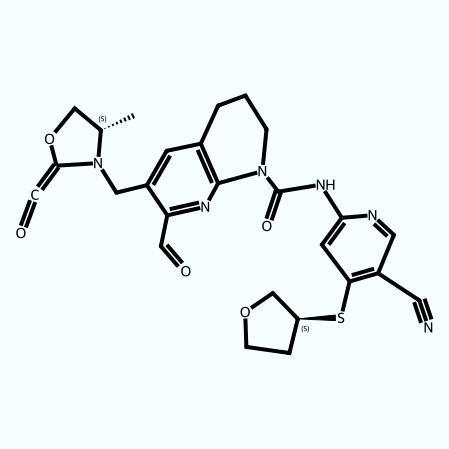 C[C@H]1COC(=C=O)N1Cc1cc2c(nc1C=O)N(C(=O)Nc1cc(S[C@H]3CCOC3)c(C#N)cn1)CCC2